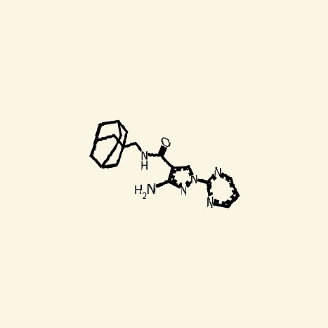 Nc1nn(-c2ncccn2)cc1C(=O)NCC12CC3CC(CC(C3)C1)C2